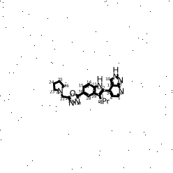 CC(C)c1c(-c2ccnc3n[nH]cc23)[nH]c2ccc(-c3nnc(CN4CCCC4)o3)cc12